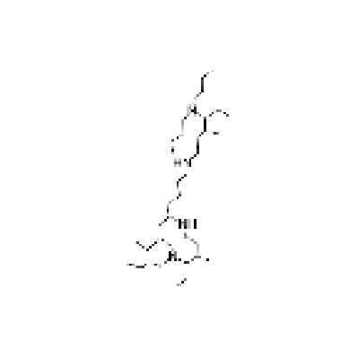 CCCCN(CCCC)C(CC)C(C)CCNCCCCC(C)NCCC(C)C(CC)N(CCCC)CCCC